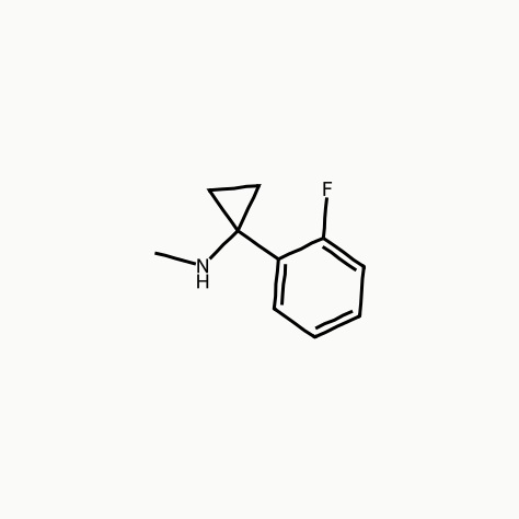 CNC1(c2ccccc2F)CC1